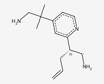 C=CC[C@@H]([CH]N)c1cc(C(C)(C)CN)ccn1